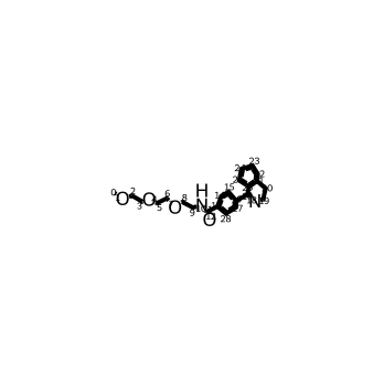 COCCOCCOCCNC(=O)c1ccc(C2=NCCc3ccccc32)cc1